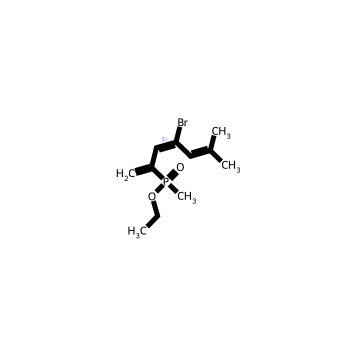 C=C(/C=C(/Br)C=C(C)C)P(C)(=O)OCC